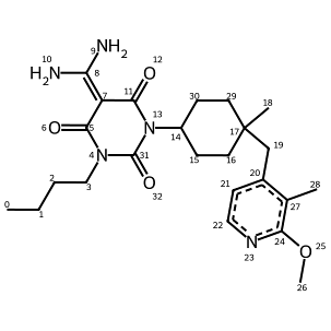 CCCCN1C(=O)C(=C(N)N)C(=O)N(C2CCC(C)(Cc3ccnc(OC)c3C)CC2)C1=O